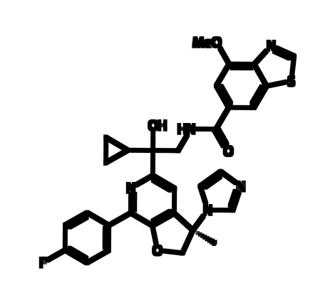 COc1cc(C(=O)NCC(O)(c2cc3c(c(-c4ccc(F)cc4)n2)OC[C@]3(C)n2ccnc2)C2CC2)cc2scnc12